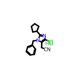 Cl.N#CCc1c(Cl)nc(C2CCCC2)n1Cc1ccccc1